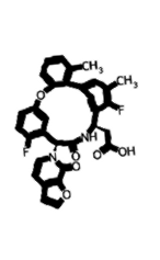 Cc1cc2cc(c1F)[C@@H](CC(=O)O)NC(=O)[C@H](n1ccc3ccoc3c1=O)c1cc(ccc1F)Oc1cccc(C)c1-2